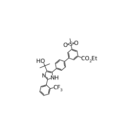 CCOC(=O)c1cc(-c2ccc(-c3[nH]c(-c4ccccc4C(F)(F)F)nc3C(C)(C)O)cc2)cc(S(C)(=O)=O)c1